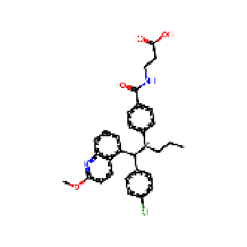 CCC[C@H](c1ccc(C(=O)NCCC(=O)O)cc1)C(c1ccc(Cl)cc1)c1cccc2nc(OC)ccc12